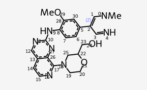 CN/C=C(\C=N)c1ccc(Nc2ncc3ccnc(N4CCOC(CO)C4)c3n2)c(OC)c1